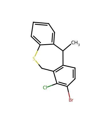 CC1c2ccccc2SCc2c1ccc(Br)c2Cl